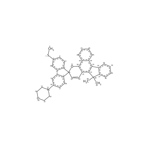 CSc1ccc(C2(c3ccc(N4CCOCC4)cc3)C=Cc3c4c(c5ccccc5c3O2)-c2ccccc2C4(C)C)cc1